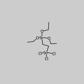 CCO[Si](C[CH2][Sn]([Cl])([Cl])[Cl])(OCC)OCC